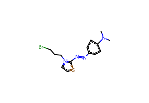 CN(C)c1ccc(N=Nc2scc[n+]2CCCBr)cc1